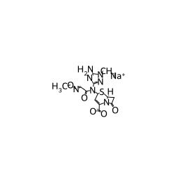 CON=CC(=O)N(c1nc(N)n(C)n1)C1C=C(C(=O)[O-])N2C(=O)C[C@@H]2S1.[Na+]